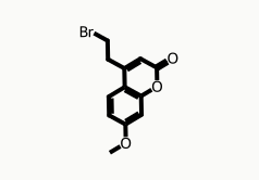 COc1ccc2c(CCBr)cc(=O)oc2c1